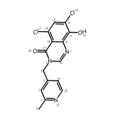 Cc1cc(Cn2cnc3c(O)c(Cl)cc(Cl)c3c2=O)ccn1